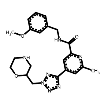 COc1cccc(CNC(=O)c2cc(-c3nnn(CC4CNCCO4)n3)cc(C)n2)c1